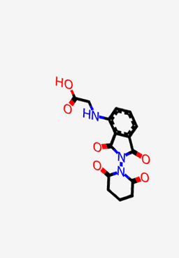 O=C(O)CNc1cccc2c1C(=O)N(N1C(=O)CCCC1=O)C2=O